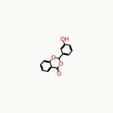 O=C1OC(c2cccc(O)c2)Oc2ccccc21